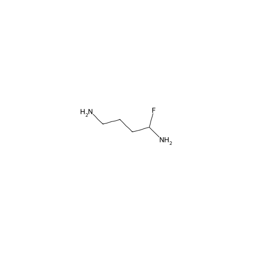 NCCCC(N)F